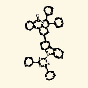 O=c1c2ccccc2c2cc(-c3ccc4c(c3)c3ccccc3n4-c3nc(-c4ccccc4)nc(-c4ccccc4)n3)cc3c(-c4ccccc4)c(-c4ccccc4)n1c32